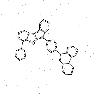 C1=CC2C=C(c3ccc(-n4c5ccccc5c5c6cccc(-c7ccccc7)c6oc54)cc3)c3ccccc3C2C=C1